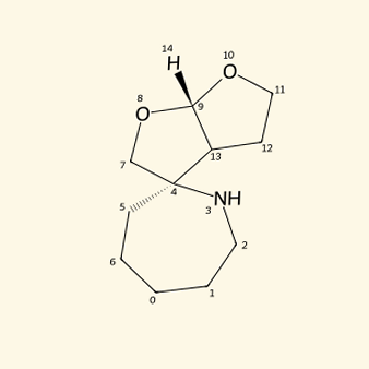 C1CCN[C@@]2(CC1)CO[C@@H]1OCCC12